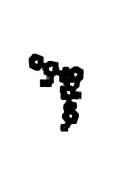 O=C(N[C@@H](Cc1ccccn1)C(=O)NCC(=O)N1CCN(c2ccccc2)C[C@H]1CO)c1cc2cc(Cl)ccc2o1